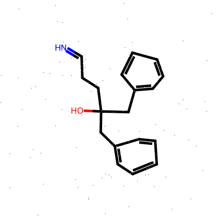 N=CCCC(O)(Cc1ccccc1)Cc1ccccc1